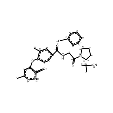 Cc1cc(Oc2ccc(C(=O)NCC(=O)N3[C@H](c4cccc(F)c4)CC[C@@H]3C(C)(C)C#N)cc2C)c(=O)[nH]n1